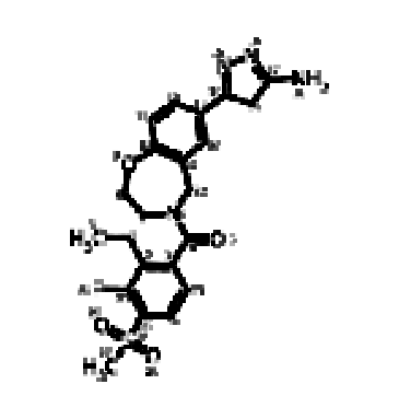 CCc1c(C(=O)N2CCOc3ccc(C4=NN=C(N)C4)cc3C2)ccc(S(C)(=O)=O)c1F